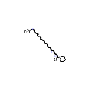 CCC/C=C\CCCCCCCCCC/C=C/C=C/C(=O)N1CCCCC1